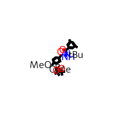 COC(OC)c1ccc(C(=O)NN(C(=O)c2cc(C)cc(C)c2)C(C)(C)C)cc1B1OC(C)(C)C(C)(C)O1